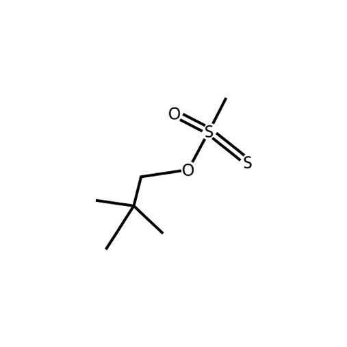 CC(C)(C)COS(C)(=O)=S